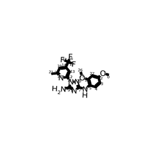 COc1ccc(Nc2nc(N)n(-c3cc(C(F)(F)F)cc(C)n3)n2)c(OC)c1